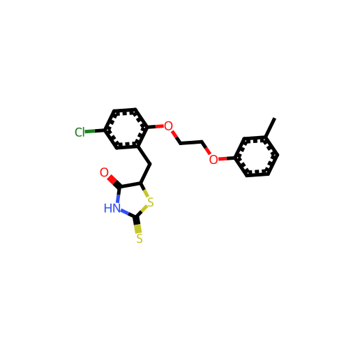 Cc1cccc(OCCOc2ccc(Cl)cc2CC2SC(=S)NC2=O)c1